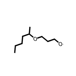 CCCCC(C)OCCC[O]